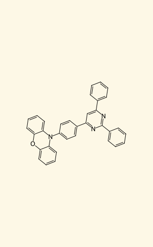 c1ccc(-c2cc(-c3ccc(N4c5ccccc5Oc5ccccc54)cc3)nc(-c3ccccc3)n2)cc1